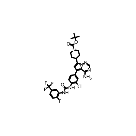 CC(C)(C)OC(=O)N1CCC(c2cc(-c3ccc(NC(=O)Nc4cc(C(F)(F)F)ccc4F)c(Cl)c3)c3c(N)ncnn23)CC1